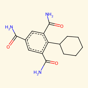 NC(=O)c1cc(C(N)=O)c(C2CCCCC2)c(C(N)=O)c1